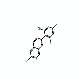 Nc1cc2ccc(-c3c(F)cc(F)cc3Cl)cc2cn1